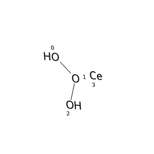 OOO.[Ce]